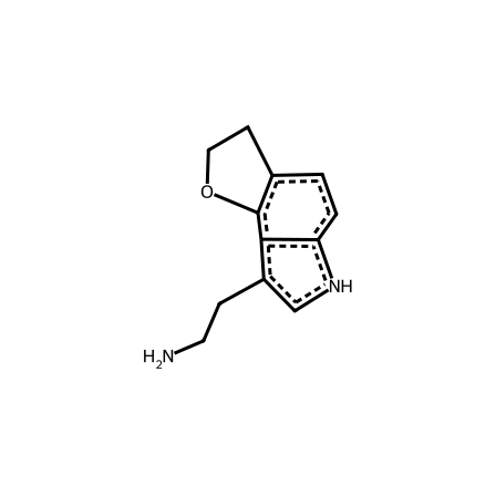 NCCc1c[nH]c2ccc3c(c12)OCC3